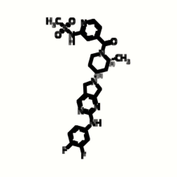 C[C@@H]1C[C@H](N2Cc3cnc(Nc4ccc(F)c(F)c4)nc3C2)CCN1C(=O)c1ccnc(NS(C)(=O)=O)c1